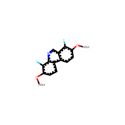 CCCCCCCCOc1ccc2c(cnc3c(F)c(OCCCCCCCC)ccc32)c1F